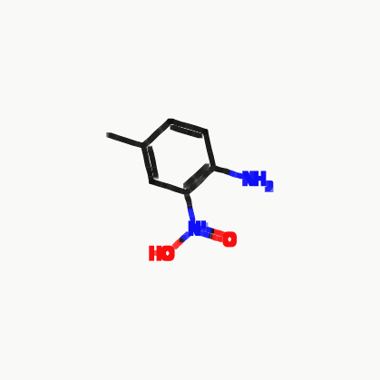 Cc1ccc(N)c([N+](=O)O)c1